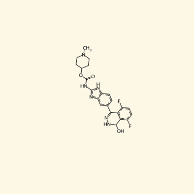 CN1CCC(OC(=O)Nc2nc3cc(C4=NNC(O)c5c(F)ccc(F)c54)ccc3[nH]2)CC1